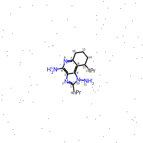 CCCc1nc2c(N)nc3c(c2n1N)C(C(C)C)CCC3